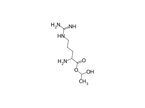 CC(O)OC(=O)C(N)CCCNC(=N)N